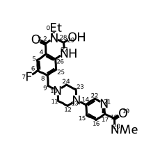 CCN1C(=O)c2cc(F)c(CN3CCN(c4ccc(C(=O)NC)nc4)CC3)cc2NC1O